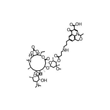 CC[C@H]1OC(=O)[C@H](C)[C@@H](O[C@H]2C[C@@](C)(OC)[C@@H](OC(=O)CCNCCCc3cc4c5c(c3)c(=O)c(C(=O)O)cn5C(C)OC4)[C@H](C)O2)[C@H](C)[C@@H](O[C@@H]2O[C@H](C)C[C@H](N(C)C)[C@H]2O)[C@](C)(O)C[C@@H](C)CN(C)[C@H](C)[C@H]2OC(=O)O[C@@]21C